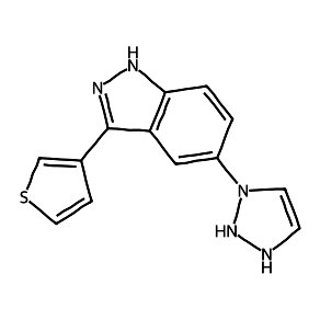 C1=CN(c2ccc3[nH]nc(-c4ccsc4)c3c2)NN1